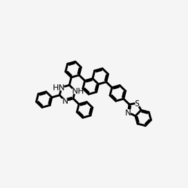 c1ccc(C2=NC(c3ccccc3)NC(c3ccccc3-c3cccc4c(-c5ccc(-c6nc7ccccc7s6)cc5)cccc34)N2)cc1